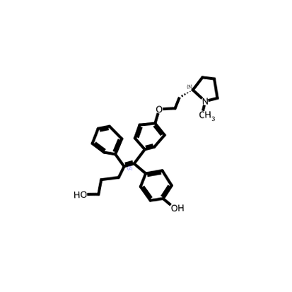 CN1CCC[C@H]1CCOc1ccc(/C(=C(/CCCO)c2ccccc2)c2ccc(O)cc2)cc1